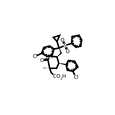 C[C@@]1(CC(=O)O)C[C@H](c2cccc(Cl)c2)[C@H](C[C@@](c2ccc(Cl)cc2)(C2CC2)S(=O)(=O)c2ccccc2)NC1=O